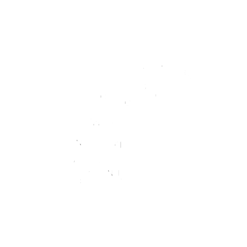 Nc1c(Cl)c(F)nc(OCC(=O)OCc2ccc(Cl)cc2)c1Cl